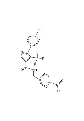 O=C(NCc1ccc([N+](=O)[O-])cc1)c1cnn(-c2ccc(Cl)cc2)c1C(F)(F)F